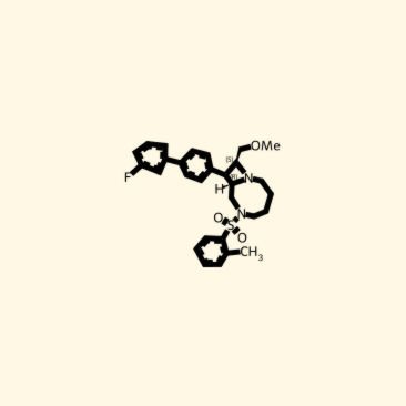 COC[C@@H]1C(c2ccc(-c3cccc(F)c3)cc2)[C@@H]2CN(S(=O)(=O)c3ccccc3C)CCCCN12